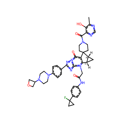 Cc1ncnc(C(=O)N2CCC3(CC2)c2c(n(CC(=O)Nc4ccc(C5(F)CC5)cc4)c4nc(-c5ccc(N6CCN(C7COC7)CC6)cc5)nn4c2=O)[C@H]2C[C@H]23)c1O